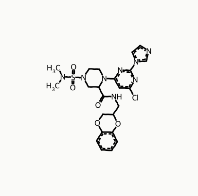 CN(C)S(=O)(=O)N1CCN(c2cc(Cl)nc(-n3ccnc3)n2)C(C(=O)NCC2COc3ccccc3O2)C1